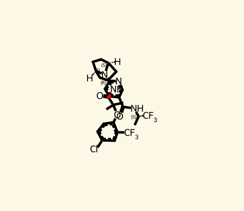 C[C@H](NC(=O)c1ccc(N2[C@@H]3CC[C@H]2C[C@@H](NC(=O)C(C)(C)Oc2ccc(Cl)cc2C(F)(F)F)C3)nc1)C(F)(F)F